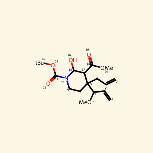 C=CCC1(C(C=C)OC)CCN(C(=O)OC(C)(C)C)C(O)C1C(=O)OC